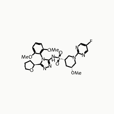 COc1cccc(OC)c1-n1c(NS(=O)(=O)[C@H]2C[C@@H](OC)CN(c3ncc(F)cn3)C2)nnc1[C@@H]1CCCO1